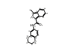 Cc1oc(C(=O)Nc2ccc3c(c2)OCCO3)c2ccccc12